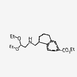 CCOC(=O)c1ccc2c(c1)CCCC2CNCC(OCC)OCC